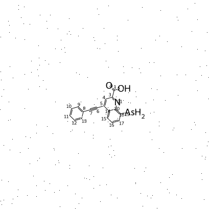 O=C(O)c1cc(C#Cc2ccccc2)c2cccc([AsH2])c2n1